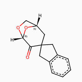 O=C1[C@@H]2OC[C@H](CC13Cc1ccccc1C3)O2